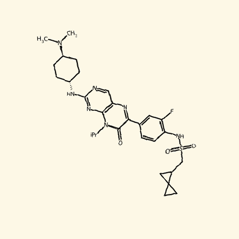 CC(C)n1c(=O)c(-c2ccc(NS(=O)(=O)CC3CC34CC4)c(F)c2)nc2cnc(N[C@H]3CC[C@H](N(C)C)CC3)nc21